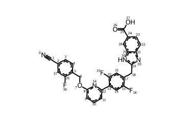 N#Cc1ccc(COc2cccc(-c3cc(F)c(Cc4nc5ccc(C(=O)O)cc5[nH]4)cc3F)n2)c(F)c1